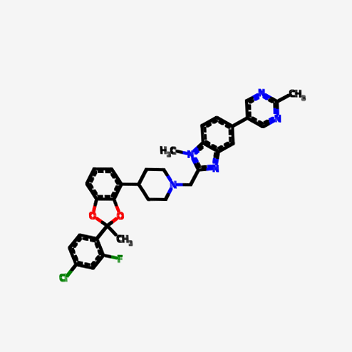 Cc1ncc(-c2ccc3c(c2)nc(CN2CCC(c4cccc5c4OC(C)(c4ccc(Cl)cc4F)O5)CC2)n3C)cn1